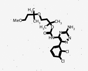 COCCC(C)(C)OCCC(C)(C)OC(=O)Nc1nc(N)nnc1-c1cccc(Cl)c1Cl